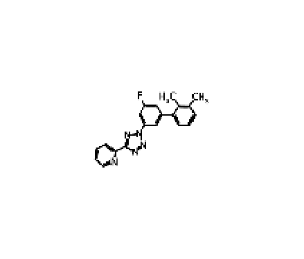 Cc1cccc(-c2cc(F)cc(-n3nnc(-c4ccccn4)n3)c2)c1C